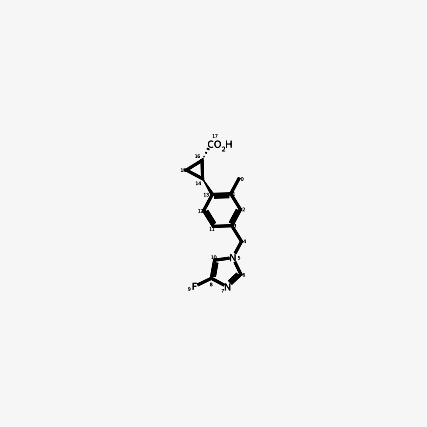 Cc1cc(Cn2cnc(F)c2)ccc1[C@H]1C[C@@H]1C(=O)O